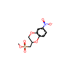 COS(=O)(=O)CC1COc2cc([N+](=O)[O-])ccc2O1